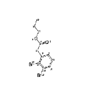 CCCOC(=O)Cc1cccc(Br)c1Br